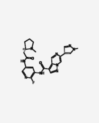 CN1CCC[C@H]1CC(=O)Nc1cnc(F)c(NC(=O)c2cnn3cc(-c4cnn(C)c4)ncc23)c1